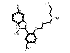 CCN(CCO)CCCOc1ccc(OC)cc1C1Sc2cc(Cl)ccc2N1C(C)=O